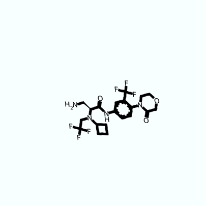 NC[C@@H](C(=O)Nc1ccc(N2CCOCC2=O)c(C(F)(F)F)c1)N(CC(F)(F)F)C1CCC1